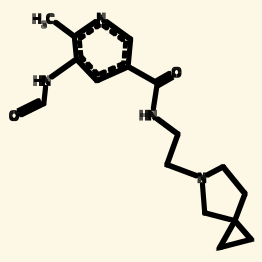 Cc1ncc(C(=O)NCCN2CCC3(CC3)C2)cc1NC=O